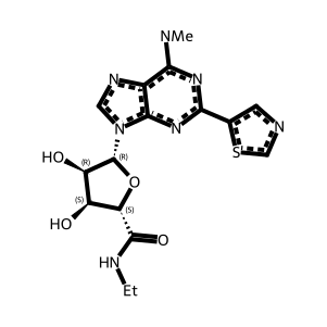 CCNC(=O)[C@H]1O[C@@H](n2cnc3c(NC)nc(-c4cncs4)nc32)[C@H](O)[C@@H]1O